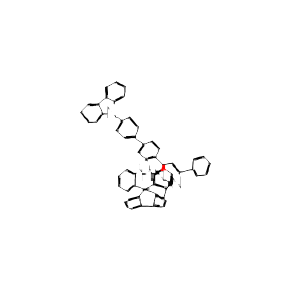 C1=C(c2ccccc2)N=C(c2cccc3c2C2(c4ccccc4Oc4ccccc42)c2ccccc2-3)NC1c1ccc(-c2ccc(-n3c4ccccc4c4ccccc43)cc2)cc1